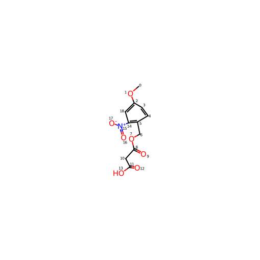 COc1ccc(COC(=O)CC(=O)O)c([N+](=O)[O-])c1